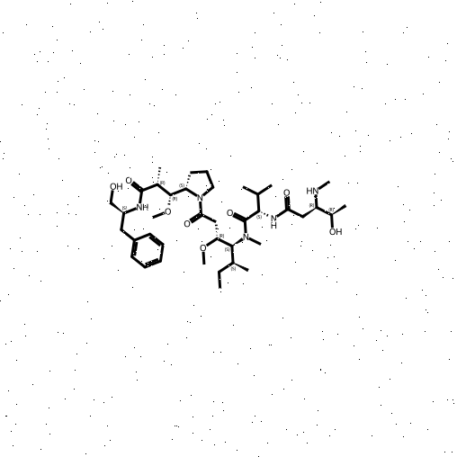 CC[C@H](C)[C@@H]([C@@H](CC(=O)N1CCC[C@H]1[C@H](OC)[C@@H](C)C(=O)N[C@H](CO)Cc1ccccc1)OC)N(C)C(=O)[C@@H](NC(=O)C[C@@H](NC)[C@@H](C)O)C(C)C